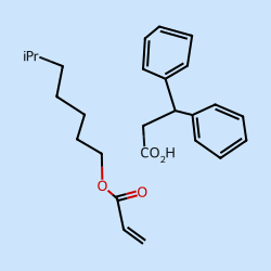 C=CC(=O)OCCCCCC(C)C.O=C(O)CC(c1ccccc1)c1ccccc1